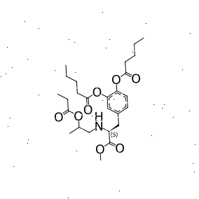 CCCCC(=O)Oc1ccc(C[C@H](NCC(C)OC(=O)CC)C(=O)OC)cc1OC(=O)CCCC